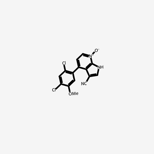 COc1cc(-c2cc[n+]([O-])c3[nH]cc(C#N)c23)c(Cl)cc1Cl